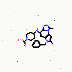 Cc1cc2c(cc(NC3CCN(C(=O)O)CC3)c3nnc(C)n32)n1Cc1ccccc1